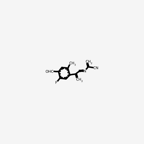 C=C(C#N)/N=C/C(=C)c1cc(F)c(C=O)cc1C